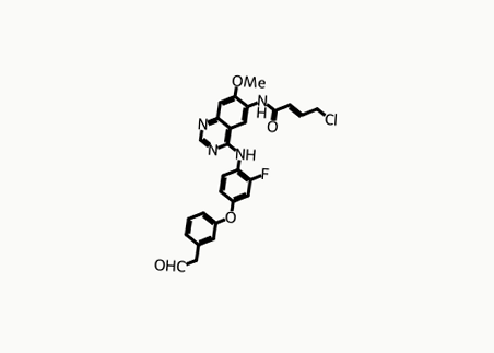 COc1cc2ncnc(Nc3ccc(Oc4cccc(CC=O)c4)cc3F)c2cc1NC(=O)/C=C/CCl